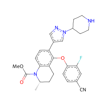 COC(=O)N1c2ccc(-c3cnn(C4CCNCC4)c3)c(Oc3ccc(C#N)cc3F)c2CC[C@@H]1C